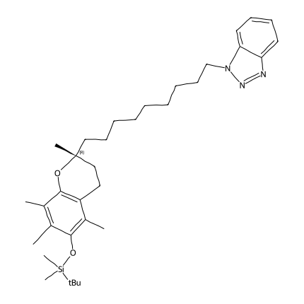 Cc1c(C)c2c(c(C)c1O[Si](C)(C)C(C)(C)C)CC[C@@](C)(CCCCCCCCCn1nnc3ccccc31)O2